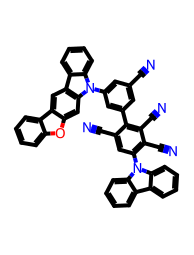 N#Cc1cc(-c2c(C#N)cc(-n3c4ccccc4c4ccccc43)c(C#N)c2C#N)cc(-n2c3ccccc3c3cc4c(cc32)oc2ccccc24)c1